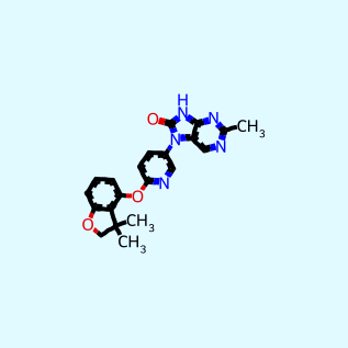 Cc1ncc2c(n1)[nH]c(=O)n2-c1ccc(Oc2cccc3c2C(C)(C)CO3)nc1